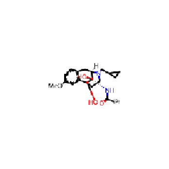 COc1ccc2c(c1)C13CCN(CC4CC4)[C@H](C2)[C@]1(O)C[C@H](NC(=O)C(C)C)C(O)C3